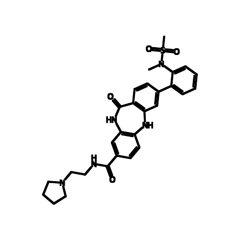 CN(c1ccccc1-c1ccc2c(c1)Nc1ccc(C(=O)NCCN3CCCC3)cc1NC2=O)S(C)(=O)=O